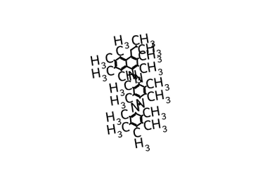 Cc1c(C)c(C)c(N=Nc2c(C)c(C)c(N=Nc3c(C)c(C)c(CC(C)C)c4c(C)c(C)c(C)c(C)c34)c(C)c2C)c(C)c1C